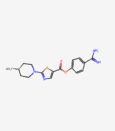 N=C(N)c1ccc(OC(=O)c2cnc(N3CCC(C(=O)O)CC3)s2)cc1